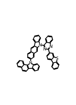 c1ccc2c(c1)ccc1c3ccccc3n(-c3ccc4cc5c6ccccc6n(-c6nc(-c7ccc8c(c7)sc7ccccc78)nc7ccccc67)c5cc4c3)c21